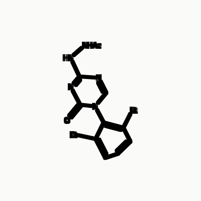 CCc1cccc(CC)c1-n1cnc(NNC(C)=O)nc1=O